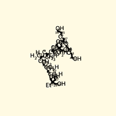 C=C(C)C(=O)O.C=C(C)C(=O)O.C=CC(=O)O.C=CC(=O)O.C=CC(=O)O.CCC(CO)(CO)CO.CCC(CO)(CO)CO.OCCOCCOCCOCCO